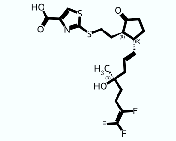 C[C@](O)(CC=C[C@H]1CCC(=O)[C@@H]1CCSc1nc(C(=O)O)cs1)CCC(F)=C(F)F